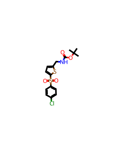 CC(C)(C)OC(=O)NCc1ccc(S(=O)(=O)c2ccc(Cl)cc2)s1